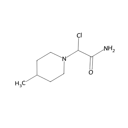 CC1CCN(C(Cl)C(N)=O)CC1